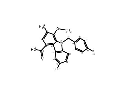 COc1c(C)cc(C(=O)O)c2c3cc(Cl)ccc3n(Cc3ccc(F)cc3)c12